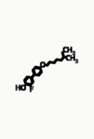 CCC(C)CCCCCOc1ccc(-c2ccc(O)c(F)c2)cc1